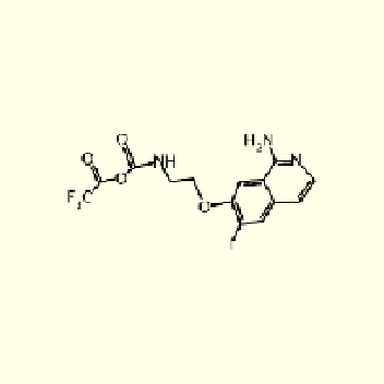 Nc1nccc2cc(I)c(OCCNC(=O)OC(=O)C(F)(F)F)cc12